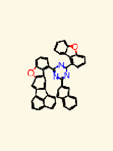 c1ccc2cc(-c3nc(-c4cccc5oc6ccccc6c45)nc(-c4cccc5oc6cc7c(cc6c45)-c4cccc5cccc-7c45)n3)ccc2c1